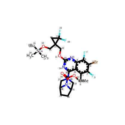 COc1c(F)c(Br)c(F)c2nc(OCC3(CO[Si](C)(C)C(C)(C)C)CC3(F)F)nc(N3CC4CCC(C3)N4C(=O)OC(C)(C)C)c12